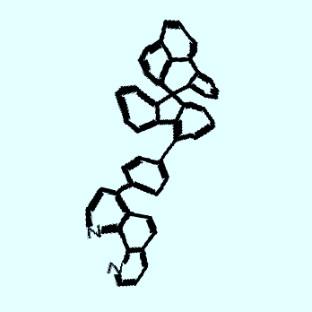 c1ccc2c(c1)-c1c(-c3ccc(-c4ccnc5c4ccc4cccnc45)cc3)cccc1C21c2ccccc2-c2cccc3cccc1c23